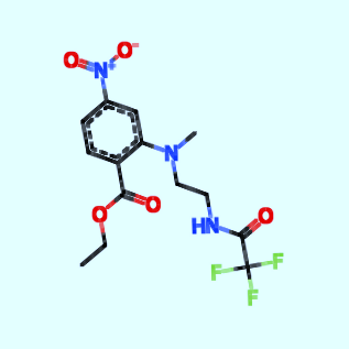 CCOC(=O)c1ccc([N+](=O)[O-])cc1N(C)CCNC(=O)C(F)(F)F